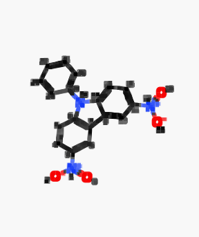 O=[N+]([O-])c1ccc2c(c1)c1cc([N+](=O)[O-])ccc1n2-c1ccccc1